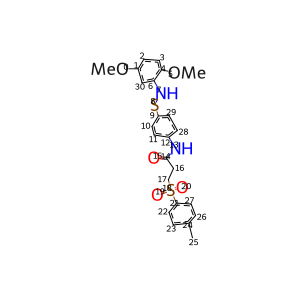 COc1ccc(OC)c(NSc2ccc(NC(=O)CCS(=O)(=O)c3ccc(C)cc3)cc2)c1